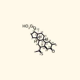 CC(=S)C1C[C@H]2[C@@H]3CC[C@H](OC(=O)O)[C@@]3(C)CC[C@@H]2[C@@]2(C)CC(C)C(=O)C=C12